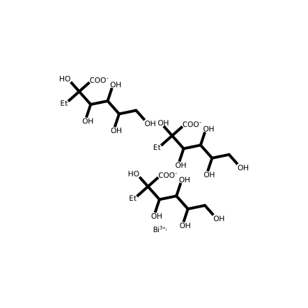 CCC(O)(C(=O)[O-])C(O)C(O)C(O)CO.CCC(O)(C(=O)[O-])C(O)C(O)C(O)CO.CCC(O)(C(=O)[O-])C(O)C(O)C(O)CO.[Bi+3]